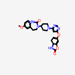 COc1ccc2c(c1)CCN(C1CCN(c3cc(OC4=CCC5NC(=O)OC5=C4)ncn3)CC1)C(=O)N2